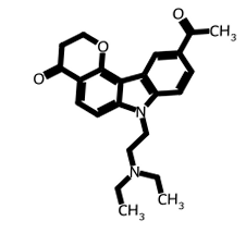 CCN(CC)CCn1c2ccc(C(C)=O)cc2c2c3c(ccc21)C(=O)CCO3